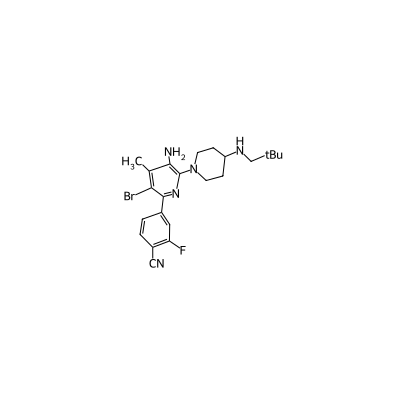 Cc1c(N)c(N2CCC(NCC(C)(C)C)CC2)nc(-c2ccc(C#N)c(F)c2)c1Br